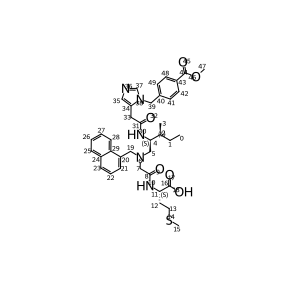 CC[C@H](C)[C@@H](CN(CC(=O)N[C@@H](CCSC)C(=O)O)Cc1cccc2ccccc12)NC(=O)Cc1cncn1Cc1ccc(C(=O)OC)cc1